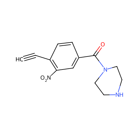 C#Cc1ccc(C(=O)N2CCNCC2)cc1[N+](=O)[O-]